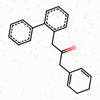 O=C(CC1=CCCC=C1)Cc1ccccc1-c1ccccc1